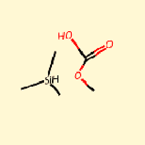 COC(=O)O.C[SiH](C)C